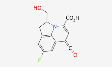 O=C=C1C=C(C(=O)O)N2c3c(cc(F)cc31)CC2CO